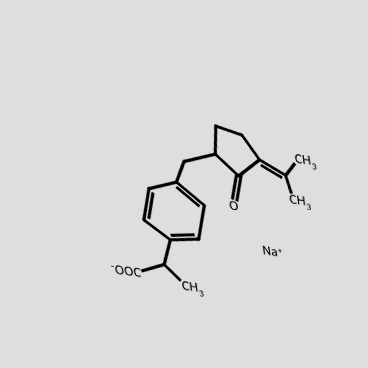 CC(C)=C1CCC(Cc2ccc(C(C)C(=O)[O-])cc2)C1=O.[Na+]